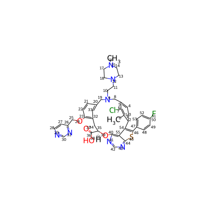 Cc1c2ccc(c1Cl)CN(CCN1CCN(C)CC1)Cc1ccc(OCc3ccncn3)c(c1)C[C@H](C(=O)O)Oc1ncnc3sc(-c4ccc(F)cc4)c-2c13